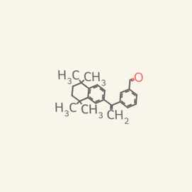 C=C(c1cccc(C=O)c1)c1ccc2c(c1)C(C)(C)CCC2(C)C